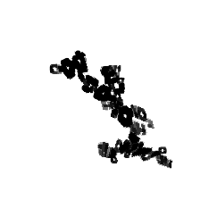 CC1(C)CCC(CN2CCN(c3ccc(C(=O)NS(=O)(=O)c4ccc(NCCP(=O)(OCCOC(=O)C(C)(C)C)OCOC(=O)C(C)(C)C)c([N+](=O)[O-])c4)c(N4CCCOc5nc6[nH]ccc6cc54)c3)CC2)=C(c2ccc(Cl)cc2)C1